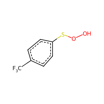 OOSc1ccc(C(F)(F)F)cc1